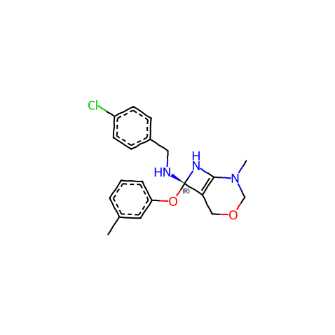 Cc1cccc(O[C@]2(NCc3ccc(Cl)cc3)NC3=C2COCN3C)c1